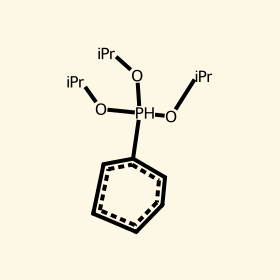 CC(C)O[PH](OC(C)C)(OC(C)C)c1ccccc1